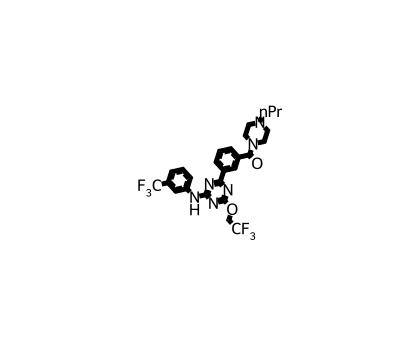 CCCN1CCN(C(=O)c2cccc(-c3nc(Nc4cccc(C(F)(F)F)c4)nc(OCC(F)(F)F)n3)c2)CC1